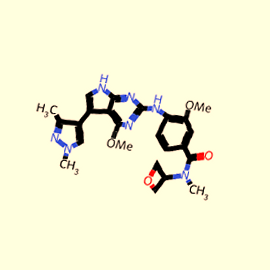 COc1cc(C(=O)N(C)C2COC2)ccc1Nc1nc(OC)c2c(-c3cn(C)nc3C)c[nH]c2n1